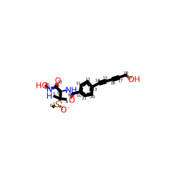 C[S+]([O-])C(C)(C)[C@H](NC(=O)c1ccc(C#CC#CCO)cc1)C(=O)NO